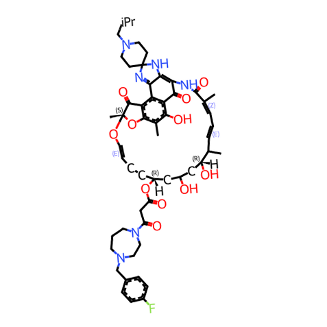 C/C1=C/C=C/C(C)[C@H](O)CC(O)C[C@H](OC(=O)CC(=O)N2CCCN(Cc3ccc(F)cc3)CC2)CC/C=C/O[C@@]2(C)Oc3c(C)c(O)c4c(c3C2=O)C2=NC3(CCN(CC(C)C)CC3)NC2=C(NC1=O)C4=O